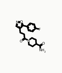 NC(=O)C1CCN(C(=O)CCc2cnoc2-c2ccc(F)cc2)CC1